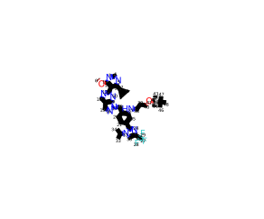 COc1ncnc(C2CC2)c1-c1ncc2cnn(Cc3ccc(-c4nc(C(F)(F)F)cn4C(C)C)cc3NCCCO[Si](C)(C)C(C)(C)C)c2n1